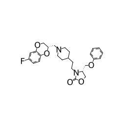 O=C1OC[C@@H](COc2ccccc2)N1CCC1CCN(C[C@H]2COc3cc(F)ccc3O2)CC1